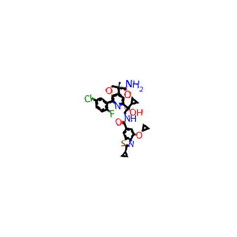 C[C@]1(C(N)=O)COc2c1cc([C@@](O)(CNC(=O)c1cc(OC3CC3)c3nc(C4CC4)sc3c1)C1CC1)nc2-c1cc(Cl)ccc1F